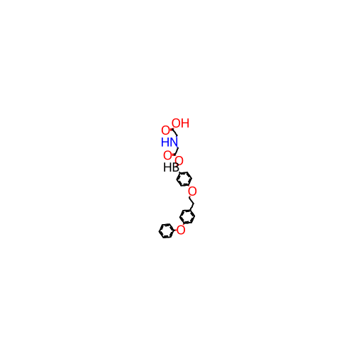 O=C(O)CNCC(=O)OBc1ccc(OCCc2ccc(Oc3ccccc3)cc2)cc1